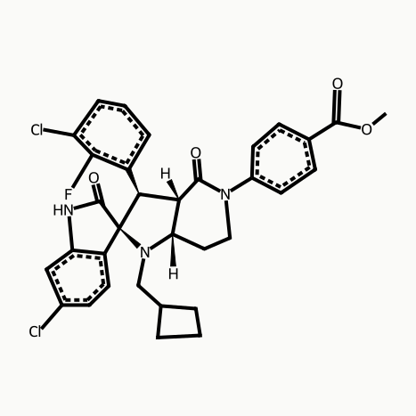 COC(=O)c1ccc(N2CC[C@H]3[C@@H](C2=O)[C@H](c2cccc(Cl)c2F)[C@]2(C(=O)Nc4cc(Cl)ccc42)N3CC2CCC2)cc1